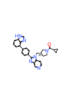 O=C(C1CC1)N1CC[C@@H](Cn2c(-c3ccc(-c4cccc5[nH]cnc45)cc3)nc3cnccc32)C1